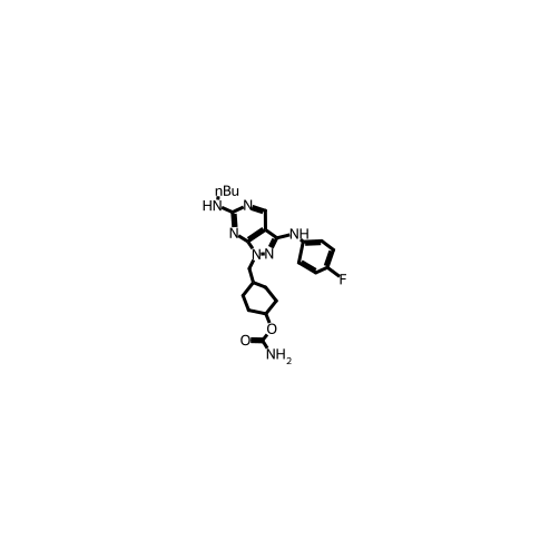 CCCCNc1ncc2c(Nc3ccc(F)cc3)nn(CC3CCC(OC(N)=O)CC3)c2n1